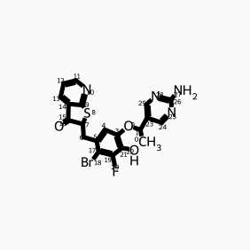 CC(Oc1cc(CC2Sc3ncccc3C2=O)c(Br)c(F)c1O)c1cnc(N)nc1